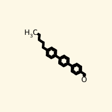 CCCCCc1ccc(-c2ccc(-c3ccc(C=O)cc3)cc2)cc1